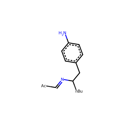 CCCCC(Cc1ccc(N)cc1)N=CC(C)=O